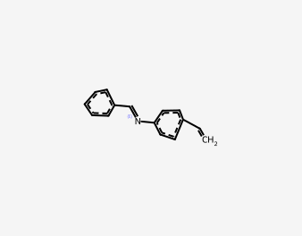 C=Cc1ccc(/N=C/c2ccccc2)cc1